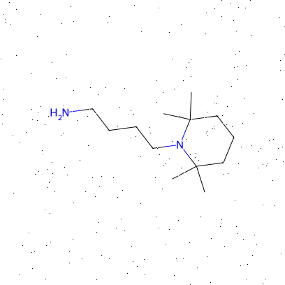 CC1(C)CCCC(C)(C)N1CCCCN